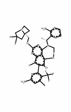 Cc1cc(N)nc(-c2c(Cl)c3c4c(nc(OC[C@@]56CCN5CC(F)(F)C6)nc4c2F)N([C@H](C)c2nccnc2N)CCO3)c1C(F)(F)F